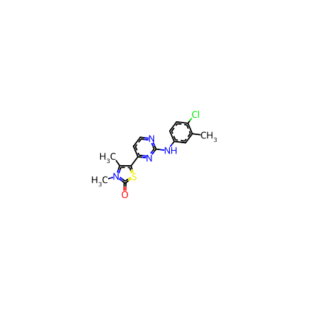 Cc1cc(Nc2nccc(-c3sc(=O)n(C)c3C)n2)ccc1Cl